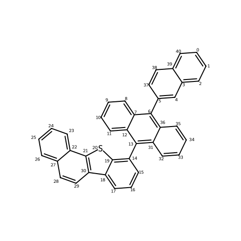 c1ccc2cc(-c3c4ccccc4c(-c4cccc5c4sc4c6ccccc6ccc54)c4ccccc34)ccc2c1